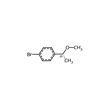 CO[C@H](C)c1ccc(Br)cc1